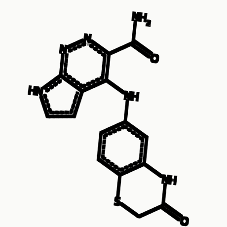 NC(=O)c1nnc2[nH]ccc2c1Nc1ccc2c(c1)NC(=O)CS2